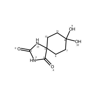 O=C1NC(=O)C2(CCC(O)(O)CC2)N1